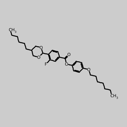 CCCCCCCOc1ccc(OC(=O)c2ccc(C3OCC(CCCCCC)CO3)c(F)c2)cc1